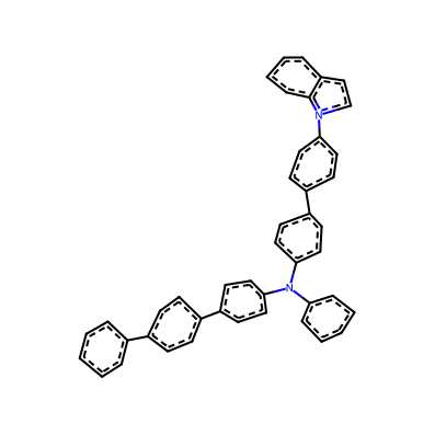 c1ccc(-c2ccc(-c3ccc(N(c4ccccc4)c4ccc(-c5ccc(-n6ccc7ccccc76)cc5)cc4)cc3)cc2)cc1